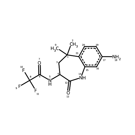 CC1(C)CC(NC(=O)C(F)(F)F)C(=O)Nc2cc(N)ccc21